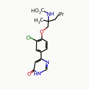 CC(C)CC(C)(COc1ccc(-c2cc(=O)[nH]cn2)cc1Cl)NC(=O)O